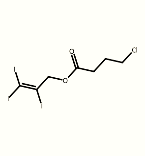 O=C(CCCCl)OCC(I)=C(I)I